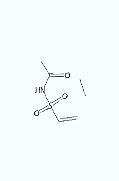 C=CS(=O)(=O)NC(C)=O.CC